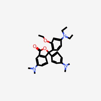 CCOc1cc(N(CC)CC)ccc1C1(c2ccc(N(C)C)cc2)OC(=O)c2cc(N(C)C)ccc21